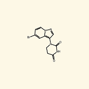 O=C1CCN(c2cnn3ccc(Br)cc23)C(=O)N1